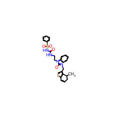 CC1CC=Cc2scc(Cn3c(=O)n(CCNC(=O)NS(=O)(=O)c4ccccc4)c4ccccc43)c21